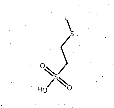 O=S(=O)(O)CCSI